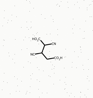 N#CC(CC(=O)O)C(C#N)C(=O)O